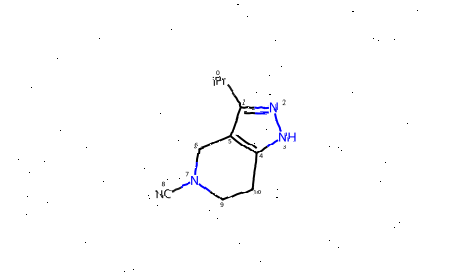 CC(C)c1n[nH]c2c1CN(C#N)CC2